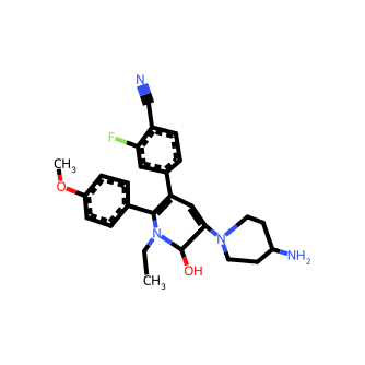 CCN1C(c2ccc(OC)cc2)=C(c2ccc(C#N)c(F)c2)C=C(N2CCC(N)CC2)C1O